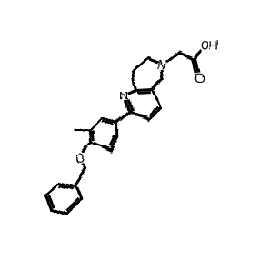 Cc1cc(-c2ccc3c(n2)CCN(CC(=O)O)C3)ccc1OCc1ccccc1